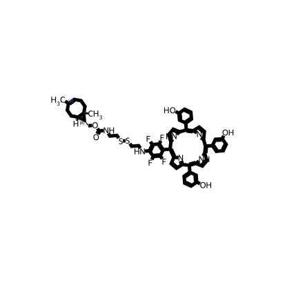 C/C1=C/CC[C@]2(C)[C@H](COC(=O)NCCSSCCNc3c(F)c(F)c(-c4c5nc(c(-c6cccc(O)c6)c6ccc([nH]6)c(-c6cccc(O)c6)c6nc(c(-c7cccc(O)c7)c7ccc4[nH]7)C=C6)C=C5)c(F)c3F)[C@@H]2CC1